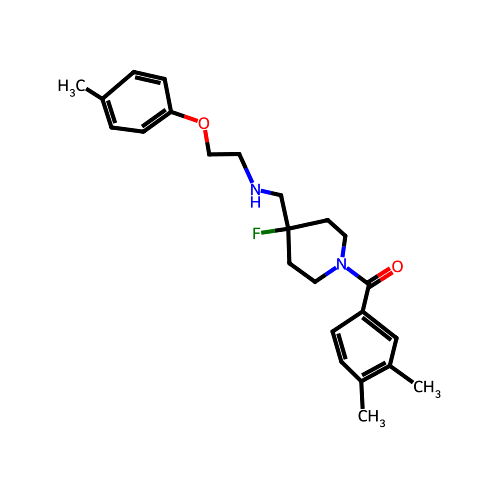 Cc1ccc(OCCNCC2(F)CCN(C(=O)c3ccc(C)c(C)c3)CC2)cc1